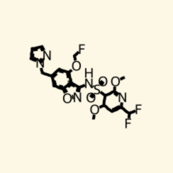 COC1=NC(C(F)F)=CC(OC)C1S(=O)(=O)Nc1noc2cc(Cn3cccn3)cc(OCF)c12